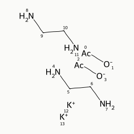 CC(=O)[O-].CC(=O)[O-].NCCN.NCCN.[K+].[K+]